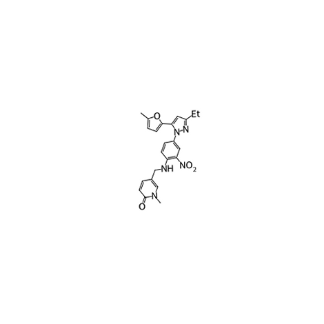 CCc1cc(-c2ccc(C)o2)n(-c2ccc(NCc3ccc(=O)n(C)c3)c([N+](=O)[O-])c2)n1